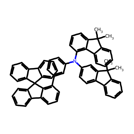 CC1(C)c2ccccc2-c2ccc(N(c3cccc(-c4cccc5c4C4(c6ccccc6-c6ccccc64)c4ccccc4-5)c3)c3cccc4c3-c3ccccc3C4(C)C)cc21